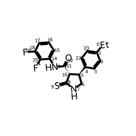 CCc1ccc([C@H]2CNC(=S)[C@@H]2C(=O)Nc2cccc(F)c2F)cc1